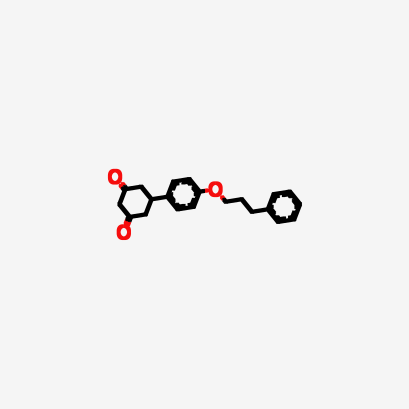 O=C1CC(=O)CC(c2ccc(OCCCc3ccccc3)cc2)C1